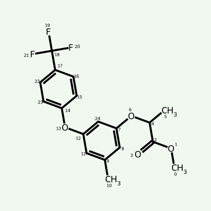 COC(=O)C(C)Oc1cc(C)cc(Oc2ccc(C(F)(F)F)cc2)c1